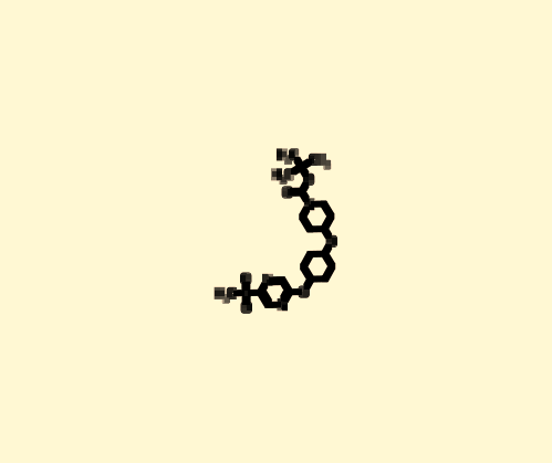 CC(C)(C)OC(=O)N1CCC(OC2CCC(Oc3cnc(S(C)(=O)=O)cn3)CC2)CC1